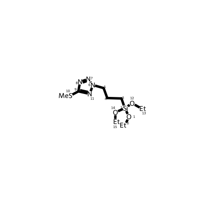 CCO[Si](CCCn1nnc(SC)n1)(OCC)OCC